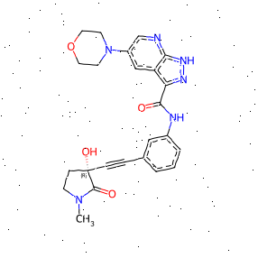 CN1CC[C@@](O)(C#Cc2cccc(NC(=O)c3n[nH]c4ncc(N5CCOCC5)cc34)c2)C1=O